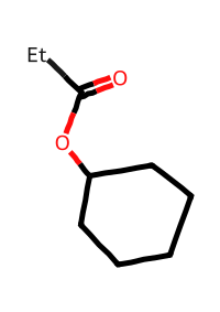 [CH2]CC(=O)OC1CCCCC1